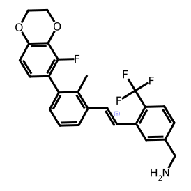 Cc1c(/C=C/c2cc(CN)ccc2C(F)(F)F)cccc1-c1ccc2c(c1F)OCCO2